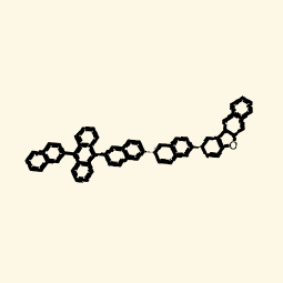 C1=C[C@@H](c2ccc3c(c2)C=C[C@H](c2ccc4cc(-c5c6ccccc6c(-c6ccc7ccccc7c6)c6ccccc56)ccc4c2)C3)CC2=C1OC1C=c3ccccc3=CC21